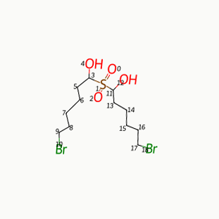 O=S(=O)(C(O)CCCCCBr)C(O)CCCCCBr